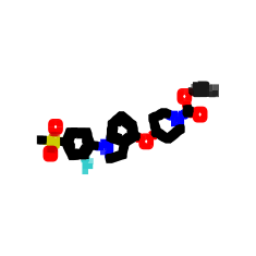 CC(C)(C)OC(=O)N1CCC(Oc2cccc3c2CCN3c2ccc(S(C)(=O)=O)cc2F)CC1